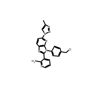 Cc1cn(-c2ccc3nc(-c4cccnc4N)n(-c4ccc(CCl)cc4)c3n2)nn1